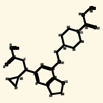 COC(=O)CC(c1cc2c(c(OCC3CCN(C(=O)OC(C)(C)C)CC3)c1)OCC2)C1CC1